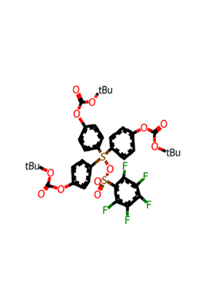 CC(C)(C)OC(=O)Oc1ccc(S(OS(=O)(=O)c2c(F)c(F)c(F)c(F)c2F)(c2ccc(OC(=O)OC(C)(C)C)cc2)c2ccc(OC(=O)OC(C)(C)C)cc2)cc1